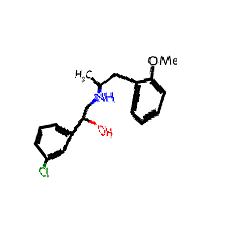 COc1ccccc1CC(C)NCC(O)c1cccc(Cl)c1